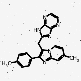 Cc1ccc(-c2nc3cc(C)ccn3c2Cc2nc3nccnc3[nH]2)cc1